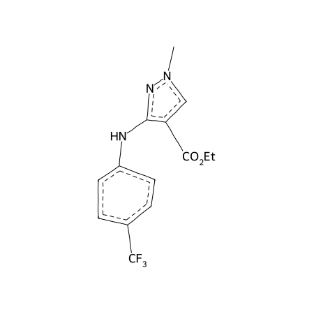 CCOC(=O)c1cn(C)nc1Nc1ccc(C(F)(F)F)cc1